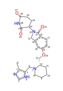 Cc1nc[nH]c1CN1CCCC[C@H]1COc1ccc2c(c1)CN(C1CCC(=O)NC1=O)C2=O